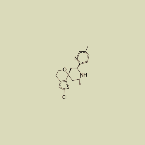 Cc1ccc([C@@H]2C[C@]3(C[C@H](C)N2)OCCc2cc(Cl)sc23)nc1